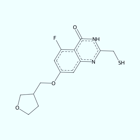 O=c1[nH]c(CS)nc2cc(OCC3CCOC3)cc(F)c12